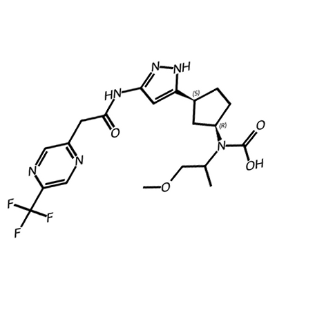 COCC(C)N(C(=O)O)[C@@H]1CC[C@H](c2cc(NC(=O)Cc3cnc(C(F)(F)F)cn3)n[nH]2)C1